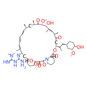 CO[C@@H]1C[C@@H](CC(C)[C@@H]2CC(=O)[C@H](C)/C=C(\C)[C@@H](O)[C@@H](OC)C(=O)[C@H](C)C[C@H](C)/C=C/C=C/C=C(/C)C(/N=C(\N)NC(=N)N(C)C)C[C@@H]3CC[C@@H](C)[C@@](O)(O3)C(=O)C(=O)N3CCCC[C@H]3C(=O)O2)CC[C@H]1O